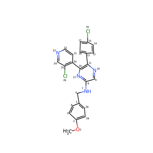 COc1ccc(CNc2cnc(-c3ccc(Cl)cc3)c(-c3ccncc3Cl)n2)cc1